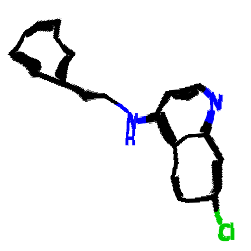 Clc1ccc2c(NCCc3ccccc3)ccnc2c1